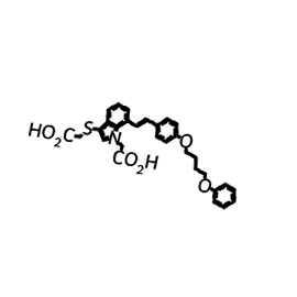 O=C(O)CSc1cn(CC(=O)O)c2c(C=Cc3ccc(OCCCCOc4ccccc4)cc3)cccc12